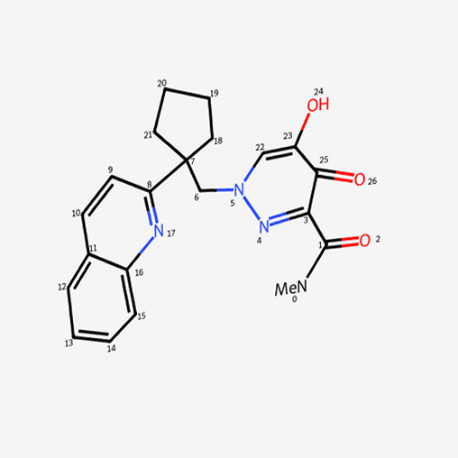 CNC(=O)c1nn(CC2(c3ccc4ccccc4n3)CCCC2)cc(O)c1=O